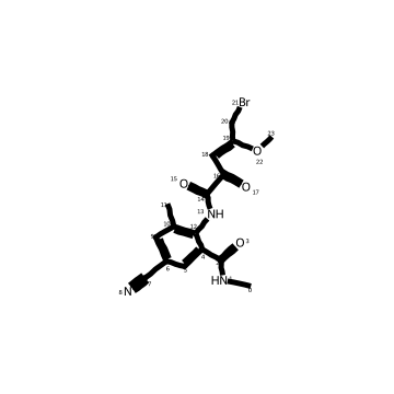 CNC(=O)c1cc(C#N)cc(C)c1NC(=O)C(=O)C=C(CBr)OC